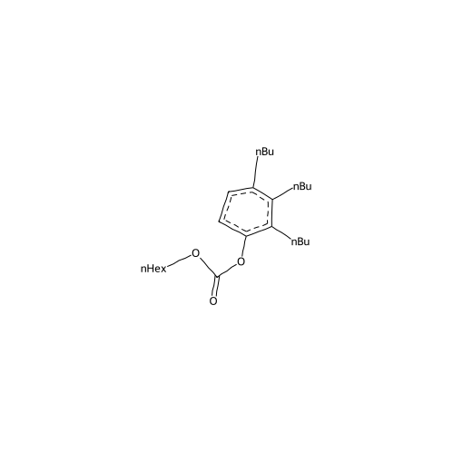 CCCCCCOC(=O)Oc1ccc(CCCC)c(CCCC)c1CCCC